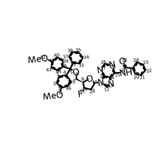 COc1ccc(C(OC[C@H]2O[C@@H](n3cnc4c(NC(=O)c5ccccc5)ncnc43)[CH][C@@H]2F)(c2ccccc2)c2ccc(OC)cc2)cc1